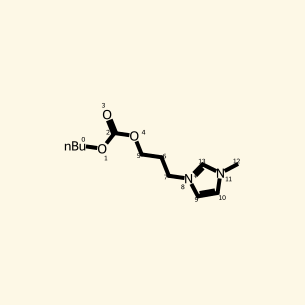 CCCCOC(=O)OCCC[n+]1ccn(C)c1